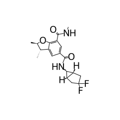 CNC(=O)c1cc(C(=O)N[C@H]2[C@@H]3CC(F)(F)C[C@@H]32)cc2c1O[C@H](C)[C@H]2C